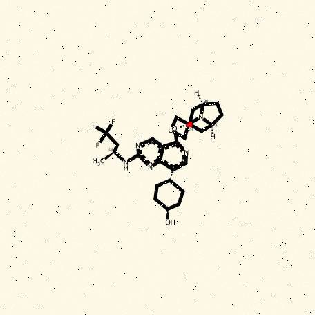 C[C@@H](CC(F)(F)F)Nc1ncc2c(O[C@@H]3C[C@H]4CC[C@@H](C3)N4C3COC3)ncc([C@H]3CC[C@H](O)CC3)c2n1